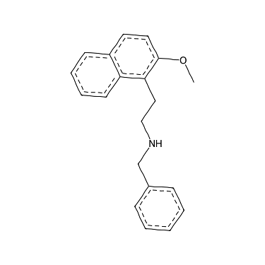 COc1ccc2ccccc2c1CCNCc1ccccc1